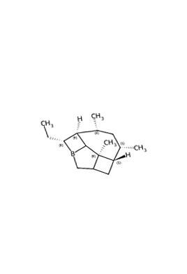 CC[C@H]1B2CC3C[C@H]4[C@@H](C)C[C@@H](C)[C@H]1C2[C@]34C